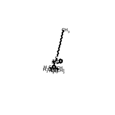 CCCCCCCCCCCCCCCCCCSSc1nnc(-c2cc(C(C)(C)C)c(O)c(C(C)(C)C)c2)n1Cc1ccccc1